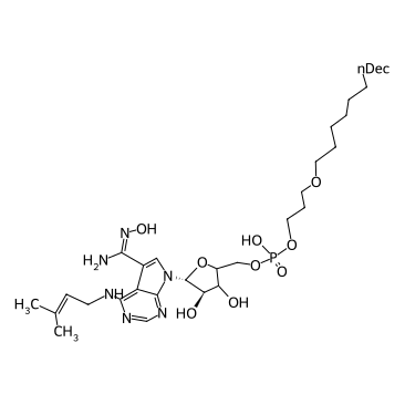 CCCCCCCCCCCCCCCCOCCCOP(=O)(O)OCC1O[C@@H](n2cc(/C(N)=N\O)c3c(NCC=C(C)C)ncnc32)[C@H](O)C1O